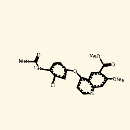 CNC(=O)Nc1ccc(Oc2ccnc3cc(OC)c(C(=O)OC)cc23)cc1Cl